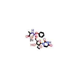 CC(C)OC(=O)C(C)NP(=S)(OC[C@H]1O[C@@H](n2ccc(=O)[nH]c2=O)[C@@]2(CCO2)[C@@H]1O)Oc1ccccc1